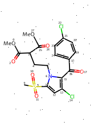 COC(=O)C(CCn1c(S(C)(=O)=O)cc(Cl)c1C(=O)c1ccc(Cl)cc1)C(=O)OC